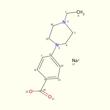 CCN1CCN(c2ccc(C(=O)[O-])cc2)CC1.[Na+]